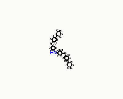 c1cc(Nc2ccc(Cc3ccc(C4CCCCC4)cc3)cc2)ccc1Cc1ccc(C2CCCCC2)cc1